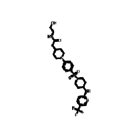 O=C(CC1CCN(c2ccc(S(=O)(=O)N3CCC(Nc4ccc(C(F)(F)F)cn4)CC3)cc2)CC1)NCCO